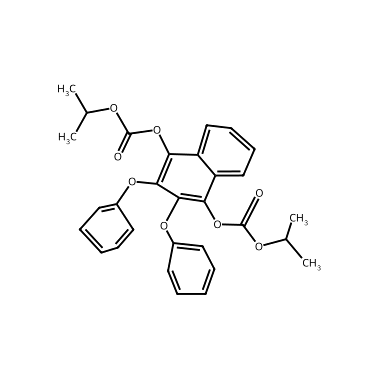 CC(C)OC(=O)Oc1c(Oc2ccccc2)c(Oc2ccccc2)c(OC(=O)OC(C)C)c2ccccc12